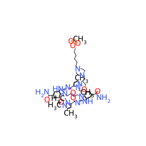 CCn1nc(C)cc1C(=O)/N=c1/[nH]c2cc(C(N)=O)cc(OC)c2n1C/C=C/Cn1/c(=N\C(=O)c2cc(C)nn2CC)[nH]c2cc(C(N)=O)cc(OCCCN3CCN(CCCCCCOS(C)(=O)=O)CC3)c21